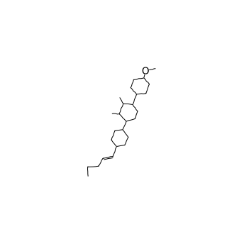 CCC/C=C/C1CCC(C2CCC(C3CCC(OC)CC3)C(C)C2C)CC1